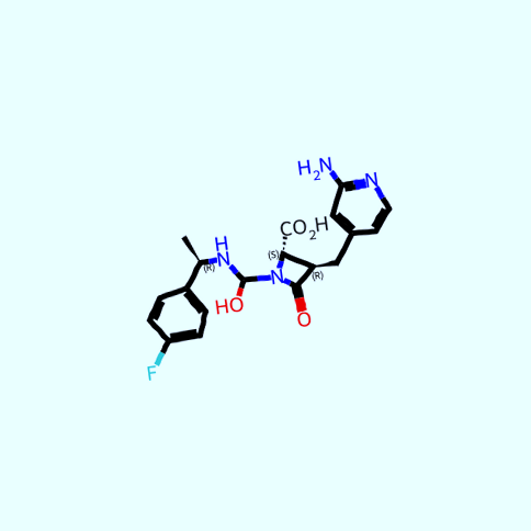 C[C@@H](NC(O)N1C(=O)[C@H](Cc2ccnc(N)c2)[C@H]1C(=O)O)c1ccc(F)cc1